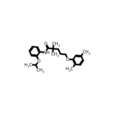 Cc1ccc(C)c(OCCCC(C)(C)C(=O)Nc2ccccc2OC(C)C)c1